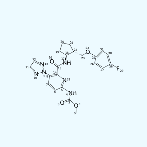 COC(=O)Nc1ccc(-n2nccn2)c(C(=O)N[C@H]2CCC[C@@H]2COc2ccc(F)cc2)n1